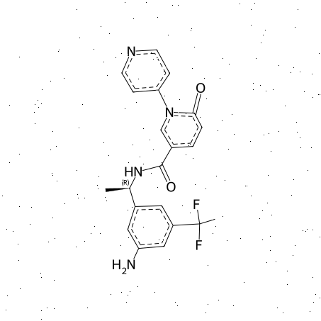 C[C@@H](NC(=O)c1ccc(=O)n(-c2ccncc2)c1)c1cc(N)cc(C(C)(F)F)c1